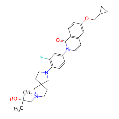 CC(C)(O)CN1CCC2(CCN(c3ccc(-n4ccc5cc(OCC6CC6)ccc5c4=O)cc3F)C2)C1